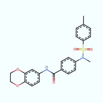 Cc1ccc(S(=O)(=O)N(C)c2ccc(C(=O)Nc3ccc4c(c3)OCCO4)cc2)cc1